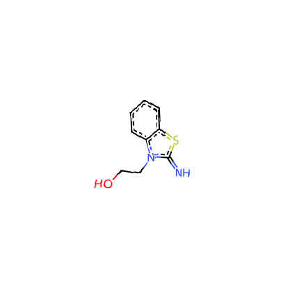 N=c1sc2ccccc2n1CCO